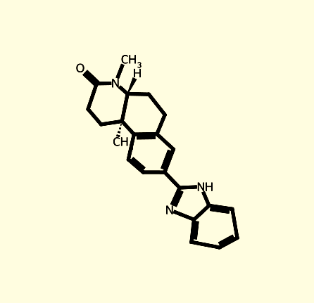 CN1C(=O)CC[C@]2(C)c3ccc(-c4nc5ccccc5[nH]4)cc3CC[C@@H]12